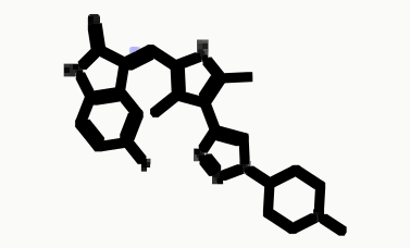 Cc1[nH]c(/C=C2/C(=O)Nc3ccc(F)cc32)c(C)c1-c1cn(C2CCN(C)CC2)nn1